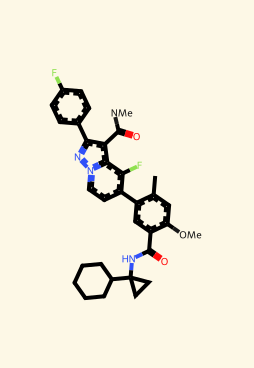 CNC(=O)c1c(-c2ccc(F)cc2)nn2ccc(-c3cc(C(=O)NC4(C5CCCCC5)CC4)c(OC)cc3C)c(F)c12